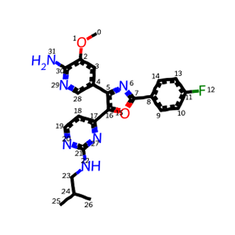 COc1cc(-c2nc(-c3ccc(F)cc3)oc2-c2ccnc(NCC(C)C)n2)cnc1N